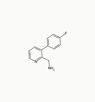 NCc1ncccc1-c1ccc(F)cc1